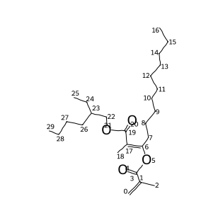 C=C(C)C(=O)OC(CCCCCCCCCC)=C(C)C(=O)OCC(CC)CCCC